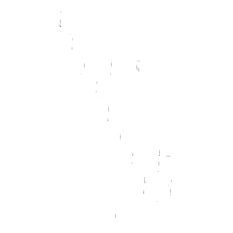 COS(=O)(=O)c1cc(Br)cc(C(F)(F)F)c1OC(=O)COCCOC1CC(OC(C)=O)CC(COC(C)=O)O1